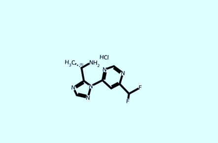 C[C@H](N)c1ncnn1-c1cc(C(F)F)ncn1.Cl